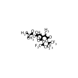 CC(C(=O)OC(C(F)(F)F)C(F)(F)F)C(CC(C)(C)OC(=O)N(C)C)C(=O)OC(C(F)(F)F)C(F)(F)F